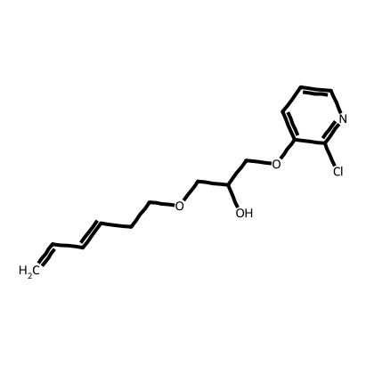 C=CC=CCCOCC(O)COc1cccnc1Cl